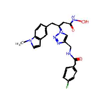 Cn1ccc2cc(CC(CC(=O)NO)n3cc(CNC(=O)c4ccc(F)cc4)nn3)ccc21